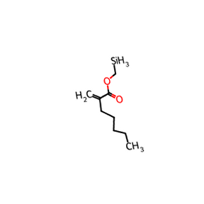 C=C(CCCCC)C(=O)OC[SiH3]